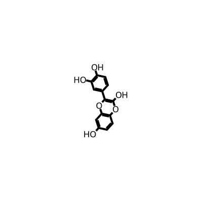 OC1=C(c2ccc(O)c(O)c2)Oc2cc(O)ccc2O1